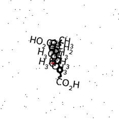 C=C(C)[C@@H]1CC[C@]2(C(=O)O)CC[C@]3(C)[C@H](CC[C@@H]4[C@@]5(C)CC=C(c6ccc(C=CC(=O)O)cc6)C(C)(C)[C@@H]5CC[C@]43C)[C@@H]12